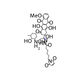 COc1cccc2c1C(=O)c1c(O)c3c(c(O)c1C2=O)CC(O)(/C(CO)=N/NC(=O)CCCCCN1C(=O)C=CC1=O)C[C@@H]3OC1CC(C)C(O)C(N)C1